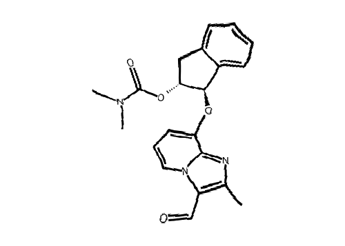 Cc1nc2c(O[C@@H]3c4ccccc4C[C@H]3OC(=O)N(C)C)cccn2c1C=O